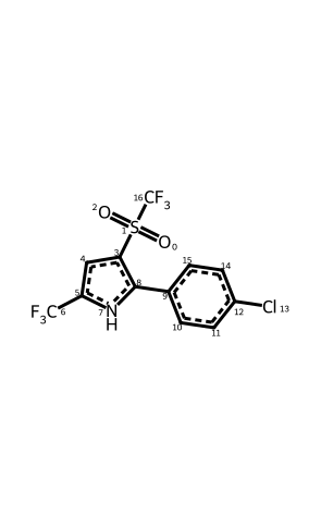 O=S(=O)(c1cc(C(F)(F)F)[nH]c1-c1ccc(Cl)cc1)C(F)(F)F